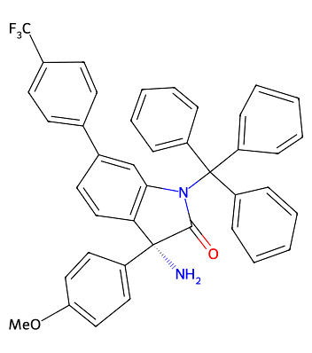 COc1ccc([C@]2(N)C(=O)N(C(c3ccccc3)(c3ccccc3)c3ccccc3)c3cc(-c4ccc(C(F)(F)F)cc4)ccc32)cc1